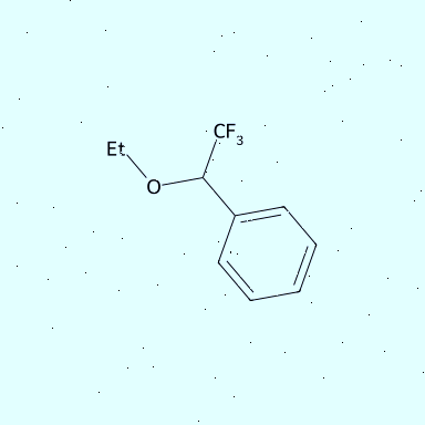 CCOC(c1ccccc1)C(F)(F)F